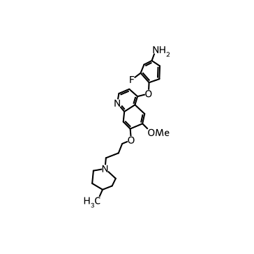 COc1cc2c(Oc3ccc(N)cc3F)ccnc2cc1OCCCN1CCC(C)CC1